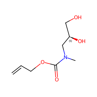 C=CCOC(=O)N(C)C[C@H](O)CO